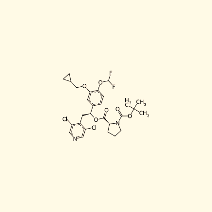 CC(C)(C)OC(=O)N1CCC[C@H]1C(=O)O[C@@H](Cc1c(Cl)cncc1Cl)c1ccc(OC(F)F)c(OCC2CC2)c1